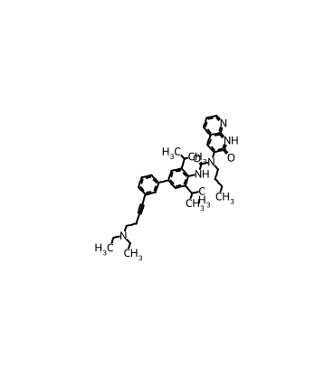 CCCCN(C(=O)Nc1c(C(C)C)cc(-c2cccc(C#CCCN(CC)CC)c2)cc1C(C)C)c1cc2cccnc2[nH]c1=O